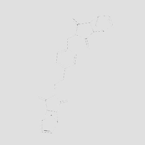 O=C1C2C3C=CC(C3)C2C(=O)N1CCc1ccc(CN2C(=O)C3C4C=CC(C4)C3C2=O)cc1